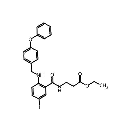 CCOC(=O)CCNC(=O)c1cc(I)ccc1NCc1ccc(Oc2ccccc2)cc1